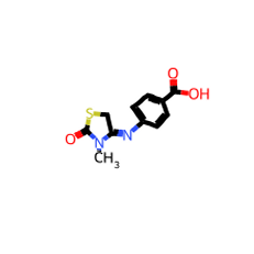 CN1C(=O)SC/C1=N\c1ccc(C(=O)O)cc1